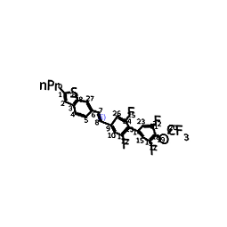 CCCc1cc2ccc(/C=C/c3cc(F)c(-c4cc(F)c(OC(F)(F)F)c(F)c4)c(F)c3)cc2s1